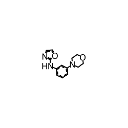 c1cc(Nc2ncco2)cc(N2CCOCC2)c1